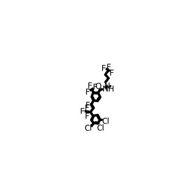 CN(CCCC(F)(F)F)NC(=O)c1ccc(/C(F)=C/C(c2cc(Cl)c(Cl)c(Cl)c2)C(F)(F)F)cc1C(F)(F)F